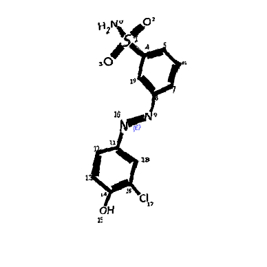 NS(=O)(=O)c1cccc(/N=N/c2ccc(O)c(Cl)c2)c1